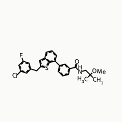 COC(C)(C)CNC(=O)c1cccc(-c2cccc3cc(Cc4cc(F)cc(Cl)c4)sc23)c1